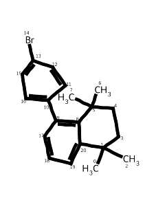 CC1(C)CCC(C)(C)c2c(-c3ccc(Br)cc3)cccc21